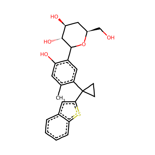 Cc1cc(O)c(C2O[C@H](CO)C[C@H](O)[C@H]2O)cc1C1(c2cc3ccccc3s2)CC1